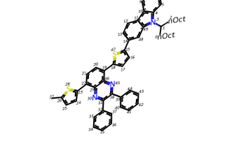 CCCCCCCCC(CCCCCCCC)n1c2cc(C)ccc2c2ccc(-c3ccc(-c4ccc(-c5ccc(C)s5)c5nc(-c6ccccc6)c(-c6ccccc6)nc45)s3)cc21